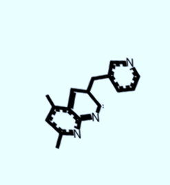 Cc1cc(C)c2c(n1)=N[C]C(Cc1cccnc1)C=2